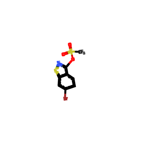 O=S(=O)(Oc1nsc2cc(Br)ccc12)C(F)(F)F